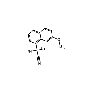 [2H]C([2H])(C#N)c1cccc2ccc(OC)cc12